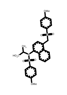 COc1ccc(S(=O)(=O)Cc2ccc(N(C(C)C(=O)O)S(=O)(=O)c3ccc(OC)cc3)c3ccccc23)cc1